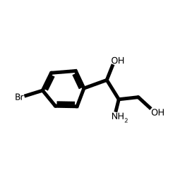 NC(CO)C(O)c1ccc(Br)cc1